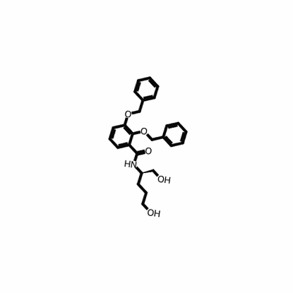 O=C(N[C@@H](CO)CCCO)c1cccc(OCc2ccccc2)c1OCc1ccccc1